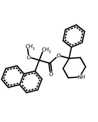 COC(C)(C(=O)OC1(c2ccccc2)CCNCC1)c1cccc2ccccc12